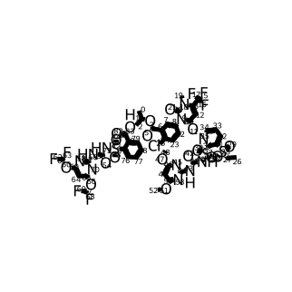 CC(C)OC(=O)c1cc(-n2c(=O)cc(C(F)(F)F)n(C)c2=O)ccc1Cl.CCS(=O)(=O)c1cccnc1S(=O)(=O)NC(=O)Nc1nc(OC)cc(OC)n1.O=C(Nc1nc(OC(F)F)cc(OC(F)F)n1)NS(=O)(=O)c1ccccc1C(=O)O